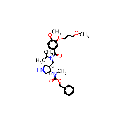 COCCCOc1cc(C(=O)N(C[C@@H]2CNC[C@H]2N(C)C(=O)OCc2ccccc2)C(C)C)ccc1OC